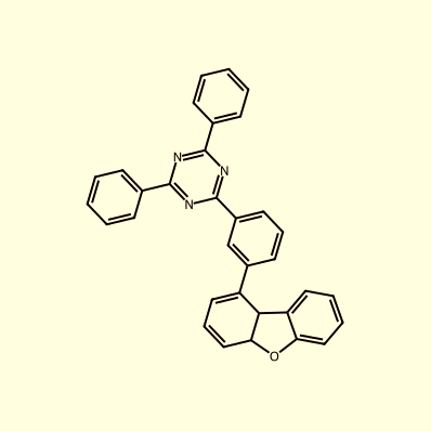 C1=CC2Oc3ccccc3C2C(c2cccc(-c3nc(-c4ccccc4)nc(-c4ccccc4)n3)c2)=C1